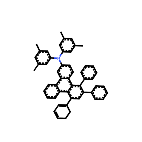 Cc1cc(C)cc(N(c2cc(C)cc(C)c2)c2ccc3c(c2)c2ccccc2c2c(C4=CC=CCC4)cc(-c4ccccc4)c(-c4ccccc4)c32)c1